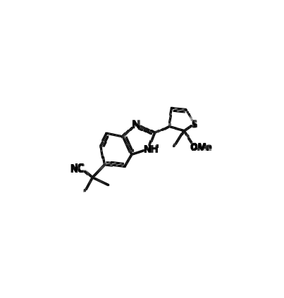 COC1(C)SC=CC1c1nc2ccc(C(C)(C)C#N)cc2[nH]1